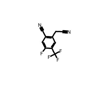 N#CCc1cc(C(F)(F)F)c(F)cc1C#N